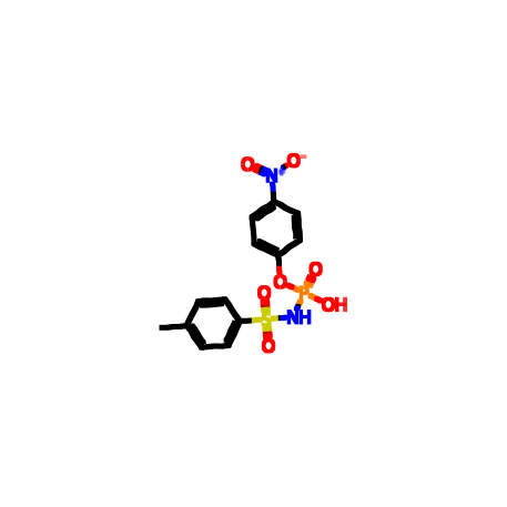 Cc1ccc(S(=O)(=O)NP(=O)(O)Oc2ccc([N+](=O)[O-])cc2)cc1